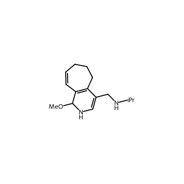 COC1NC=C(CNC(C)C)C2=C1C=CCCC2